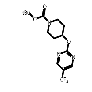 CC(C)(C)OC(=O)N1CCC(Oc2ncc(C(F)(F)F)cn2)CC1